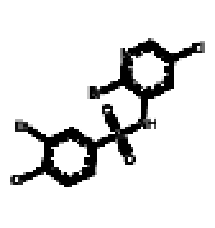 CCc1cc(S(=O)(=O)Nc2cc(Cl)cnc2Br)ccc1Cl